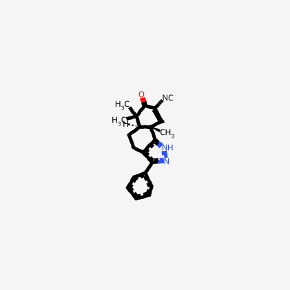 [C-]#[N+]C1=C[C@]2(C)c3[nH]nc(-c4ccccc4)c3CC[C@H]2C(C)(C)C1=O